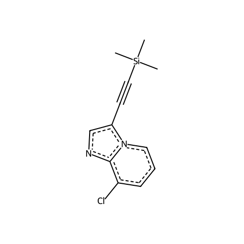 C[Si](C)(C)C#Cc1cnc2c(Cl)cccn12